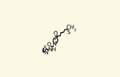 CC(=S)CCCCC(=O)N1CCN(CC(=O)Nc2nccs2)CC1